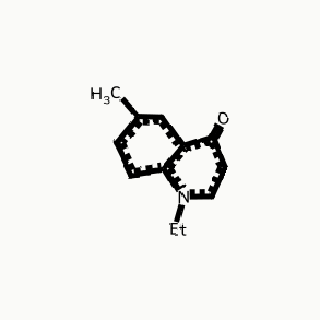 CCn1ccc(=O)c2cc(C)ccc21